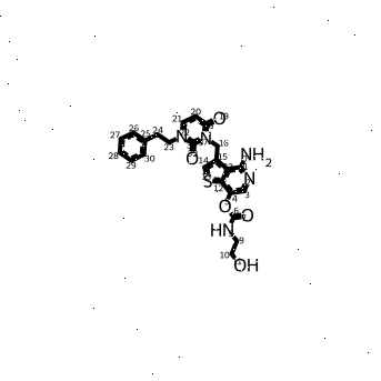 Nc1ncc(OC(=O)NCCO)c2scc(Cn3c(=O)ccn(CCc4ccccc4)c3=O)c12